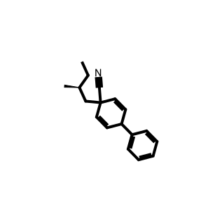 CC[C@H](C)CC1(C#N)C=CC(c2ccccc2)C=C1